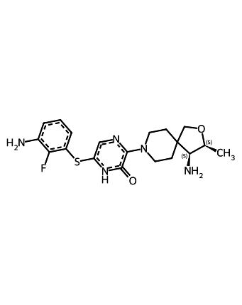 C[C@@H]1OCC2(CCN(c3ncc(Sc4cccc(N)c4F)[nH]c3=O)CC2)[C@@H]1N